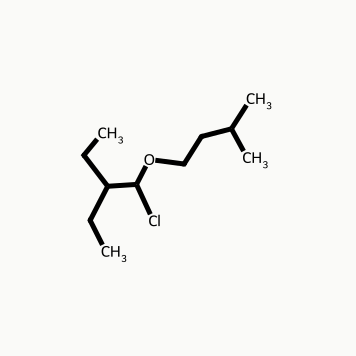 CCC(CC)C(Cl)OCCC(C)C